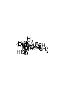 Cc1nn(-c2ccccc2)c2nc(C(=O)O)cc(N3CCC([C@H](F)CN(C)C)CC3)c12